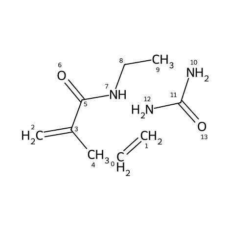 C=C.C=C(C)C(=O)NCC.NC(N)=O